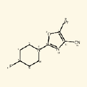 CC(C)c1oc(N2CCC(F)CC2)nc1C#N